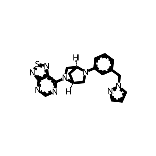 c1cc(Cn2cccn2)cc(N2C[C@@H]3C[C@H]2CN3c2ncnc3nsnc23)c1